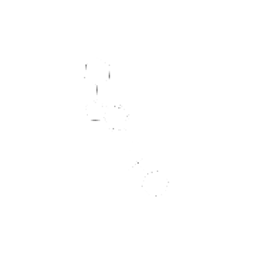 CC(C)(COc1ccn2c(-c3ccncn3)cnc2c1)N1CCOCC1